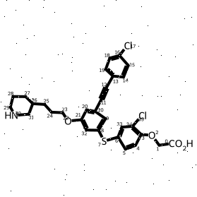 O=C(O)COc1ccc(Sc2cc(C#Cc3ccc(Cl)cc3)cc(OCCCC3CCCNC3)c2)cc1Cl